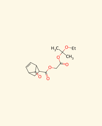 CCOC(C)(C)OC(=O)COC(=O)C1CC2C=CC1C2=O